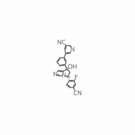 N#Cc1cncc(-c2cccc([C@@]3(O)C[C@H](c4ccc(C#N)cc4F)n4cncc43)c2)c1